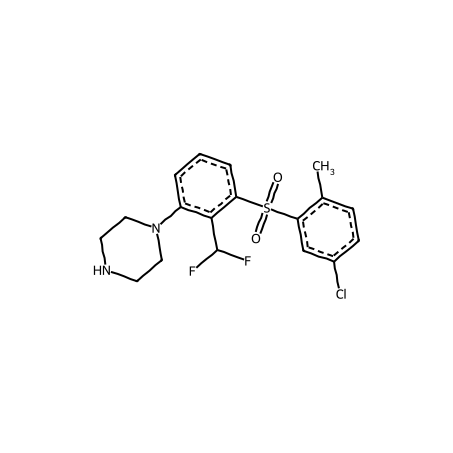 Cc1ccc(Cl)cc1S(=O)(=O)c1cccc(N2CCNCC2)c1C(F)F